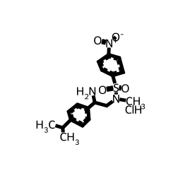 CC(C)c1ccc(C(N)CN(C)S(=O)(=O)c2ccc([N+](=O)[O-])cc2)cc1.Cl